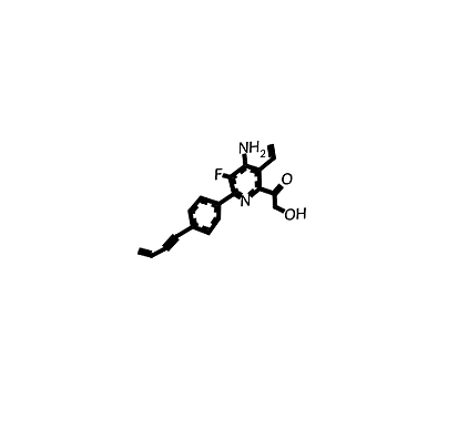 C=CC#Cc1ccc(-c2nc(C(=O)CO)c(C=C)c(N)c2F)cc1